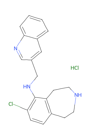 Cl.Clc1ccc2c(c1NCc1cnc3ccccc3c1)CCNCC2